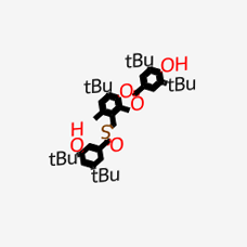 Cc1cc(C(C)(C)C)c(OC(=O)c2cc(C(C)(C)C)c(O)c(C(C)(C)C)c2)c(C)c1CSC(=O)C1=CC(O)(C(C)(C)C)C=C(C(C)(C)C)C1